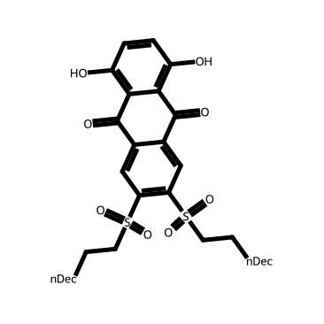 CCCCCCCCCCCCS(=O)(=O)c1cc2c(cc1S(=O)(=O)CCCCCCCCCCCC)C(=O)c1c(O)ccc(O)c1C2=O